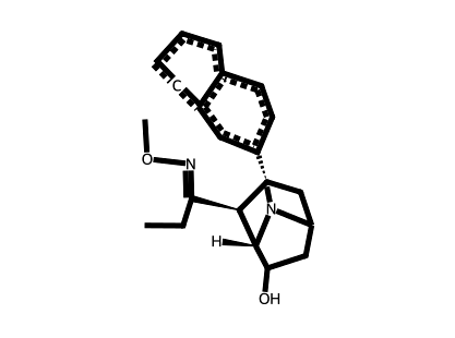 CCC(=NOC)[C@@H]1[C@H]2C(O)CC(C[C@H]1c1ccc3ccccc3c1)N2C